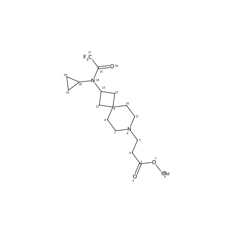 CC(C)(C)OC(=O)CCN1CCC2(CC1)CC(N(C(=O)C(F)(F)F)C1CC1)C2